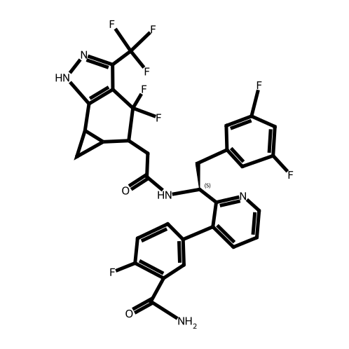 NC(=O)c1cc(-c2cccnc2[C@H](Cc2cc(F)cc(F)c2)NC(=O)CC2C3CC3c3[nH]nc(C(F)(F)F)c3C2(F)F)ccc1F